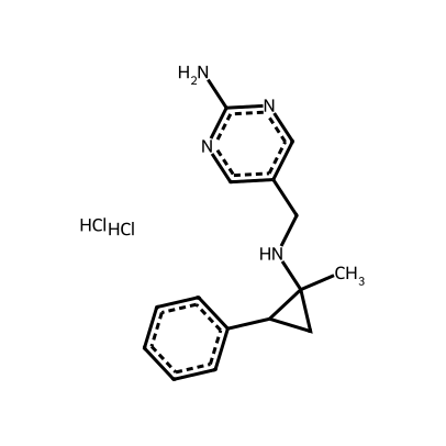 CC1(NCc2cnc(N)nc2)CC1c1ccccc1.Cl.Cl